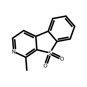 Cc1nccc2c1S(=O)(=O)c1ccccc1-2